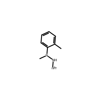 CCCNN(C)c1ccccc1C